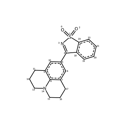 O=S1(=O)N=C(c2cc3c4c(c2)CCCN4CCC3)c2ccccc21